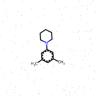 Cc1cc(C)cc(N2[CH]CCCC2)c1